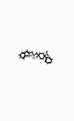 CN(C)C1(c2ccccc2)CCC(C)(CNCc2cc3ccccc3[nH]2)CC1